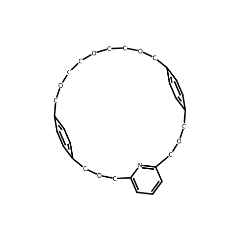 c1cc2nc(c1)COCc1ccc(cc1)COCCOCCOCc1ccc(cc1)COC2